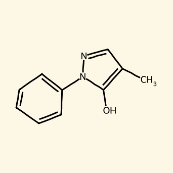 Cc1cnn(-c2ccccc2)c1O